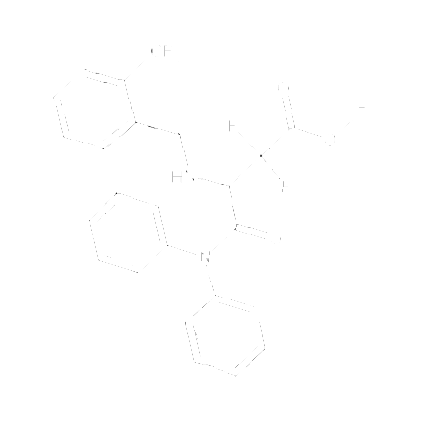 O=C(C(NCc1ccccc1C(F)(F)F)C(F)(F)C(=O)OF)N(c1ccccc1)c1ccccc1